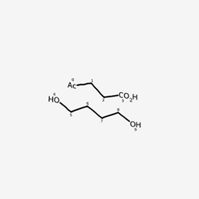 CC(=O)CCC(=O)O.OCCCCO